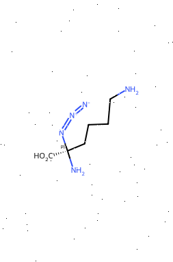 [N-]=[N+]=N[C@](N)(CCCCN)C(=O)O